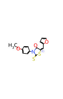 COc1ccc(N2C(=O)/C(=C\c3ccco3)SC2=S)cc1